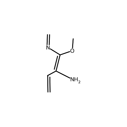 C=C/C(N)=C(\N=C)OC